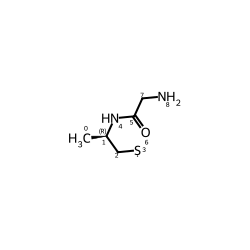 C[C@H](C[S])NC(=O)CN